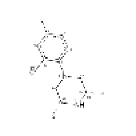 Cc1ccc(N2C[C@@H](C)N[C@@H](C)C2)c(Cl)c1